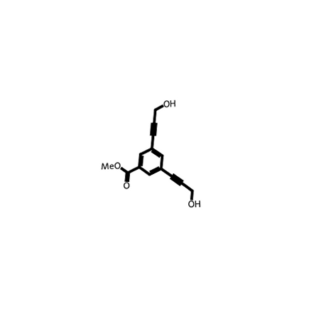 COC(=O)c1cc(C#CCO)cc(C#CCO)c1